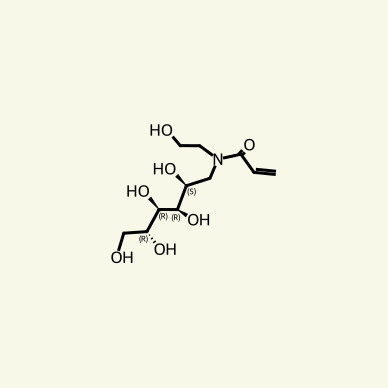 C=CC(=O)N(CCO)C[C@H](O)[C@@H](O)[C@H](O)[C@H](O)CO